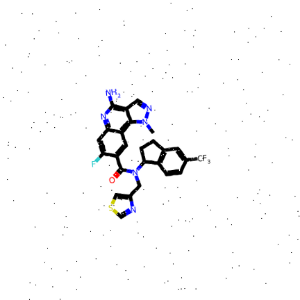 Cn1ncc2c(N)nc3cc(F)c(C(=O)N(Cc4cscn4)C4CCc5cc(C(F)(F)F)ccc54)cc3c21